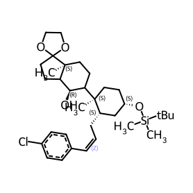 CC(C)(C)[Si](C)(C)O[C@H]1CC[C@](C)(C2CC[C@@]3(C)C(CCC34OCCO4)[C@@H]2O)[C@@H](C/C=C\c2ccc(Cl)cc2)C1